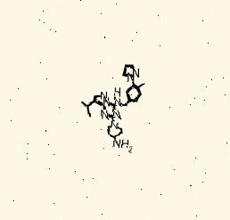 Cc1ccc(CNc2nc(N3CCC(N)CC3)nc3c(C(C)C)cnn23)cc1-n1cccn1